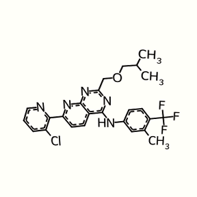 Cc1cc(Nc2nc(COCC(C)C)nc3nc(-c4ncccc4Cl)ccc23)ccc1C(F)(F)F